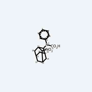 O=C(O)N(c1ccccc1)C1C2CC3CC(C2)C([N+](=O)[O-])C1C3